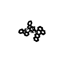 c1ccc2cc3c(cc2c1)-c1cccc2cccc(c12)N3c1nc(-c2cccc3c2sc2ccccc23)c2sc3ccccc3c2n1